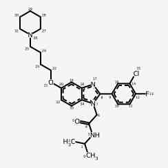 CC(C)NC(=O)Cn1c(-c2ccc(F)c(Cl)c2)nc2cc(OCCCCN3CCCCC3)ccc21